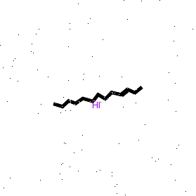 CCC=CCCCCCCCCC.I